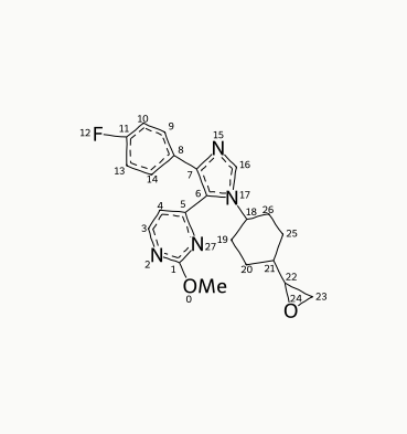 COc1nccc(-c2c(-c3ccc(F)cc3)ncn2C2CCC(C3CO3)CC2)n1